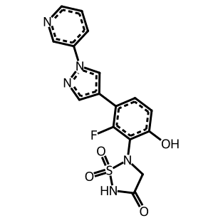 O=C1CN(c2c(O)ccc(-c3cnn(-c4cccnc4)c3)c2F)S(=O)(=O)N1